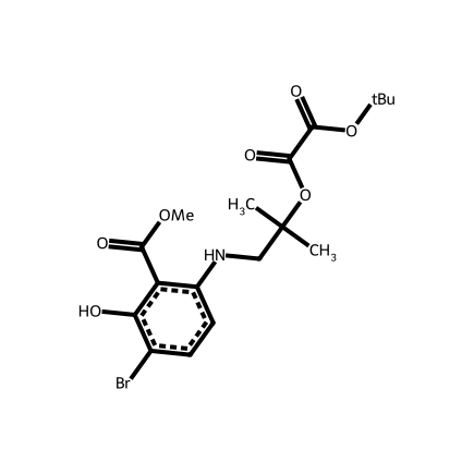 COC(=O)c1c(NCC(C)(C)OC(=O)C(=O)OC(C)(C)C)ccc(Br)c1O